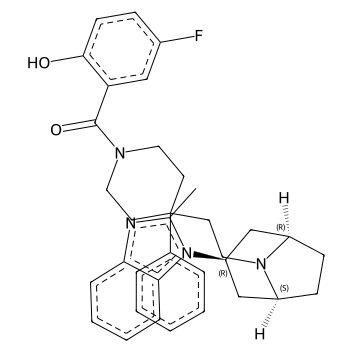 Cc1nc2ccccc2n1[C@H]1C[C@H]2CC[C@@H](C1)N2CCC1(c2ccccc2)CCN(C(=O)c2cc(F)ccc2O)CC1